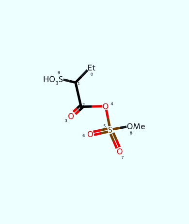 CCC(C(=O)OS(=O)(=O)OC)S(=O)(=O)O